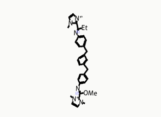 CC/C(=N\c1ccc(Cc2cccc(Cc3ccc(/N=C(\OC)c4n(C)cc[n+]4C)cc3)c2)cc1)c1n(C)cc[n+]1C